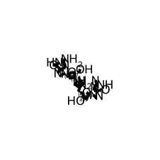 Nc1nc2c(ncn2[C@H]2C[C@H](O)[C@@H](Cc3cn([C@H]4C[C@H](n5cnc6c(=O)[nH]c(N)nc65)O[C@@H]4CO)nn3)O2)c(=O)[nH]1